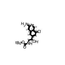 CC(C)(C)OC(=O)NCC(O)c1cc(Cl)c2cnc(N)cc2c1